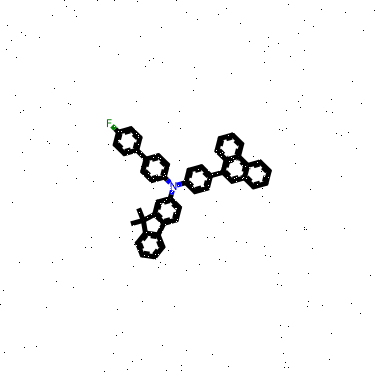 CC1(C)c2ccccc2-c2ccc(N(c3ccc(-c4ccc(F)cc4)cc3)c3ccc(-c4cc5ccccc5c5ccccc45)cc3)cc21